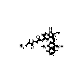 NCC(=O)NCC(=O)Nc1ccc2c(c1)C(=CC1CC(O)c3ccccc3C1O)C(=O)N2